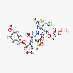 BOC(=O)[C@H](C)O/N=C(\C(=O)NC1C(=O)N2C(C(=O)OCc3ccc(OC)cc3)=C(CI)C[S+]([O-])[C@H]12)c1nc(C)sc1Cl